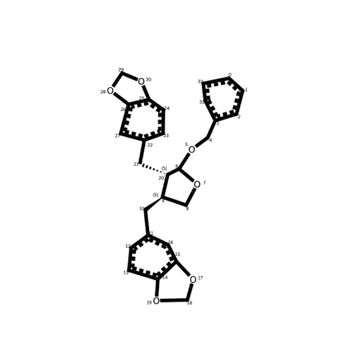 c1ccc(COC2OC[C@@H](Cc3ccc4c(c3)OCO4)[C@@H]2Cc2ccc3c(c2)OCO3)cc1